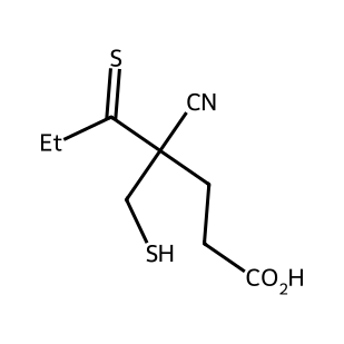 CCC(=S)C(C#N)(CS)CCC(=O)O